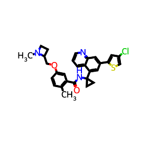 Cc1ccc(OCC2CCN2C)cc1C(=O)NC1(c2cc(-c3cc(Cl)cs3)cc3ncccc23)CC1